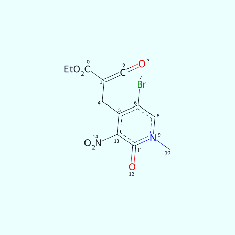 CCOC(=O)C(=C=O)Cc1c(Br)cn(C)c(=O)c1[N+](=O)[O-]